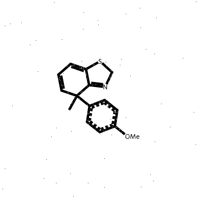 COc1ccc(C2(C)C=CC=C3SCN=C32)cc1